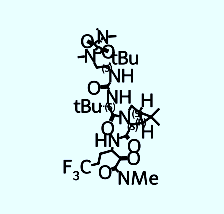 CNC(=O)C(=O)C(CCC(F)(F)F)NC(=O)[C@@H]1[C@@H]2[C@H](CN1C(=O)[C@@H](NC(=O)N[C@H](CN(C)S(=O)(=O)N(C)C)C(C)(C)C)C(C)(C)C)C2(C)C